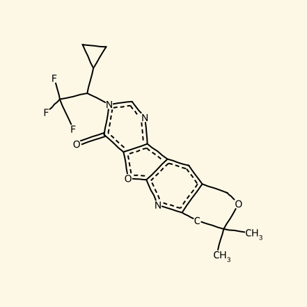 CC1(C)Cc2nc3oc4c(=O)n(C(C5CC5)C(F)(F)F)cnc4c3cc2CO1